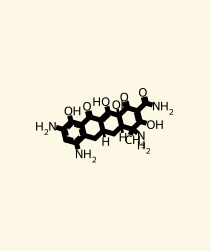 CC1(N)C(O)=C(C(N)=O)C(=O)[C@@]2(O)C(O)=C3C(=O)c4c(O)c(N)cc(N)c4C[C@H]3C[C@@H]12